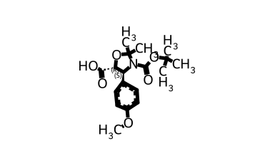 COc1ccc([C@H]2[C@H](C(=O)O)OC(C)(C)N2C(=O)OC(C)(C)C)cc1